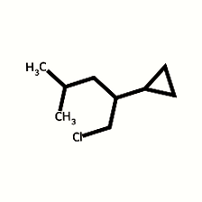 CC(C)CC(CCl)C1CC1